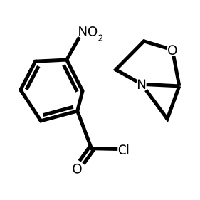 C1CN2CC2O1.O=C(Cl)c1cccc([N+](=O)[O-])c1